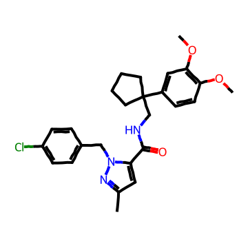 COc1ccc(C2(CNC(=O)c3cc(C)nn3Cc3ccc(Cl)cc3)CCCC2)cc1OC